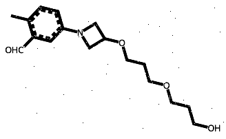 Cc1ccc(N2CC(OCCCOCCCO)C2)cc1C=O